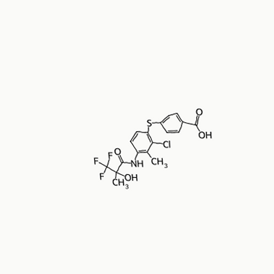 Cc1c(NC(=O)C(C)(O)C(F)(F)F)ccc(Sc2ccc(C(=O)O)cc2)c1Cl